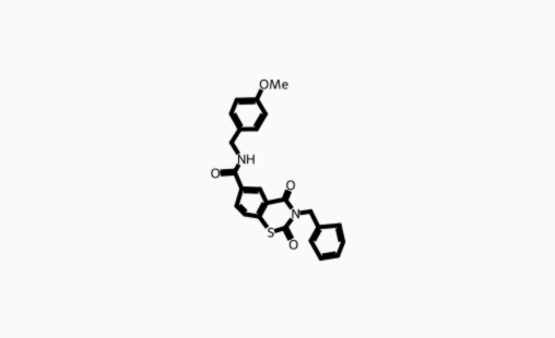 COc1ccc(CNC(=O)c2ccc3sc(=O)n(Cc4ccccc4)c(=O)c3c2)cc1